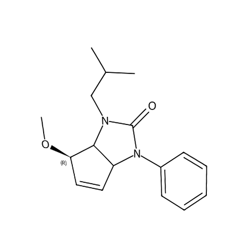 CO[C@@H]1C=CC2C1N(CC(C)C)C(=O)N2c1ccccc1